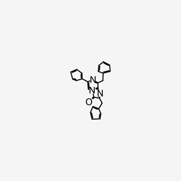 O=C1C(Cc2ccccc2)=Nc2c(Cc3ccccc3)nc(-c3ccccc3)c[n+]21